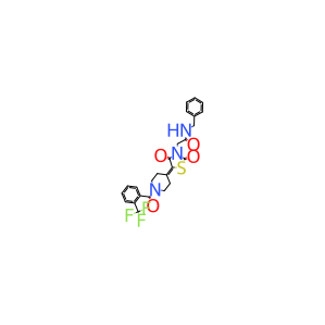 O=C(CN1C(=O)SC(=C2CCN(C(=O)c3ccccc3C(F)(F)F)CC2)C1=O)NCc1ccccc1